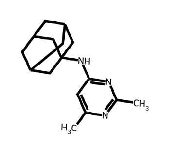 Cc1cc(NC23CC4CC(CC(C4)C2)C3)nc(C)n1